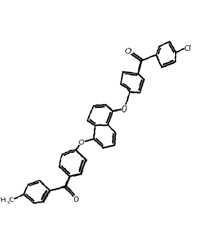 Cc1ccc(C(=O)c2ccc(Oc3cccc4c(Oc5ccc(C(=O)c6ccc(Cl)cc6)cc5)cccc34)cc2)cc1